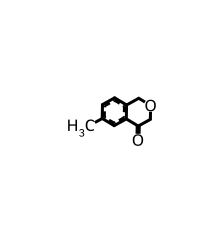 Cc1ccc2c(c1)C(=O)COC2